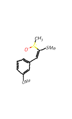 COc1cccc(/C=C(/SC)[S+](C)[O-])c1